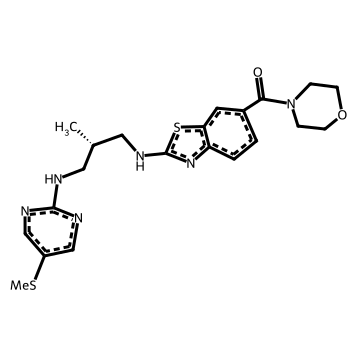 CSc1cnc(NC[C@H](C)CNc2nc3ccc(C(=O)N4CCOCC4)cc3s2)nc1